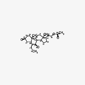 CC[C@@H]1C(=O)C2C(CCC3(C)C2CC[C@@H]3CCOC(C)=O)C2(C)CCC(=O)CC12